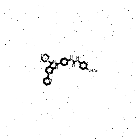 CC(=O)Nc1ccc(NC(=O)Nc2ccc(-c3nc(N4CCOCC4)c4ccc(-c5ccccn5)cc4n3)cc2)cc1